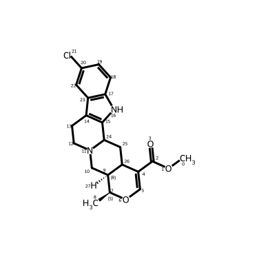 COC(=O)C1=CO[C@@H](C)[C@H]2CN3CCc4c([nH]c5ccc(Cl)cc45)C3CC12